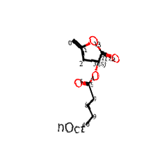 C=C1C[C@H](OC(=O)CCCCCCCCCCC)C(=O)O1